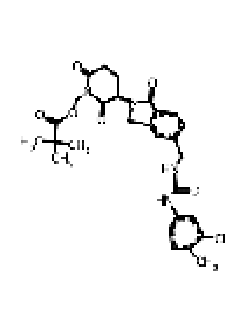 Cc1ccc(NC(=O)NCc2ccc3c(c2)CN(C2CCC(=O)N(COC(=O)C(C)(C)C)C2=O)C3=O)cc1Cl